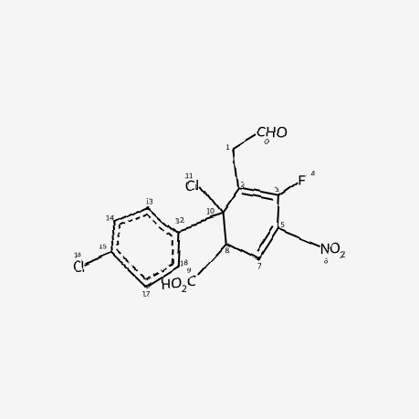 O=CCC1=C(F)C([N+](=O)[O-])=CC(C(=O)O)C1(Cl)c1ccc(Cl)cc1